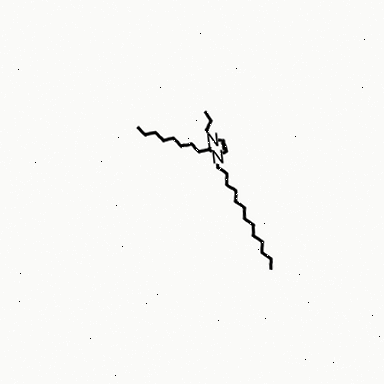 CCCCCCCCCCCCCN1C=CN(CCC)C1CCCCCCCC